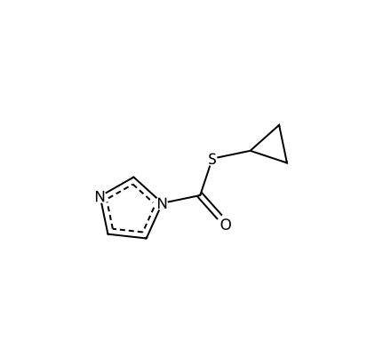 O=C(SC1CC1)n1ccnc1